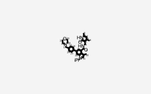 Cc1cc(C)c(CNC(=O)c2cc(-c3ccc(CN4CCOCC4)cc3)cc3c2c(C)cn3C(C)C)c(=O)[nH]1